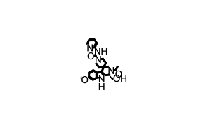 COc1ccc2c3c([nH]c2c1)[C@H](CO)N(C(C)=O)CC31CCN(C(=O)Nc2ccccn2)CC1